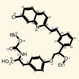 CCOC(COc1ccc(CC(NC(=O)OC(C)(C)C)C(=O)O)cc1)c1cccc(/C=C/c2ccc3ccc(Cl)cc3n2)c1